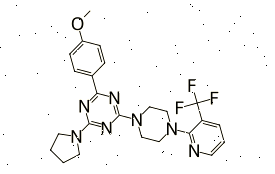 COc1ccc(-c2nc(N3CCCC3)nc(N3CCN(c4ncccc4C(F)(F)F)CC3)n2)cc1